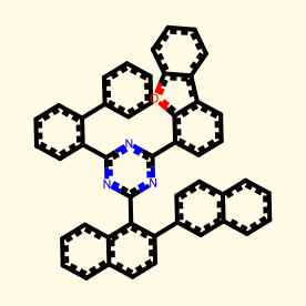 c1ccc(-c2ccccc2-c2nc(-c3c(-c4ccc5ccccc5c4)ccc4ccccc34)nc(-c3cccc4c3oc3ccccc34)n2)cc1